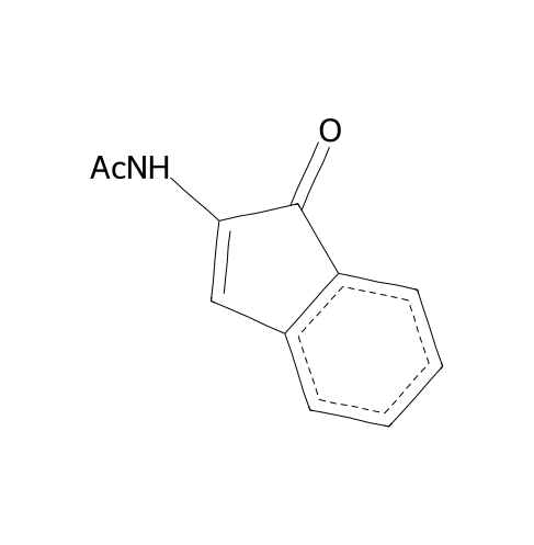 CC(=O)NC1=Cc2ccccc2C1=O